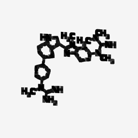 CN(C)C(=N)N(C)c1ccc2nc(-c3c[nH]c4ccc(-c5ccc(N(C)C(=N)N)cc5)cc34)n(C)c2c1